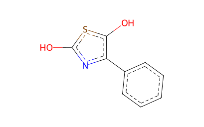 Oc1nc(-c2ccccc2)c(O)s1